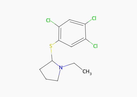 CCN1CCCC1Sc1cc(Cl)c(Cl)cc1Cl